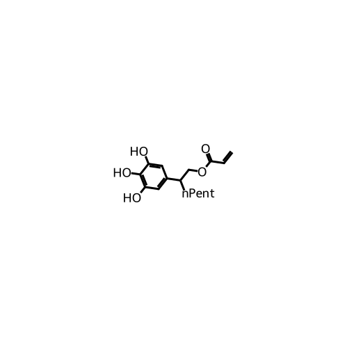 C=CC(=O)OCC(CCCCC)c1cc(O)c(O)c(O)c1